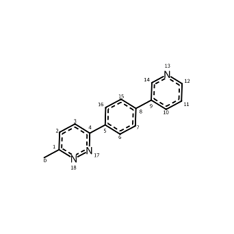 Cc1ccc(-c2ccc(-c3cccnc3)cc2)nn1